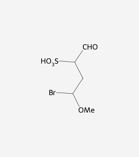 COC(Br)CC(C=O)S(=O)(=O)O